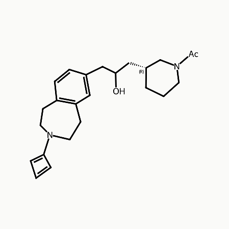 CC(=O)N1CCC[C@H](CC(O)Cc2ccc3c(c2)CCN(C2=CC=C2)CC3)C1